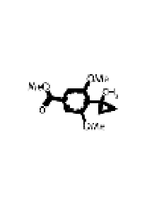 COC(=O)c1cc(OC)c(C2(C)CC2)c(OC)c1